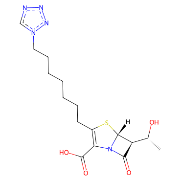 C[C@@H](O)[C@H]1C(=O)N2C(C(=O)O)=C(CCCCCCCn3cnnn3)S[C@H]12